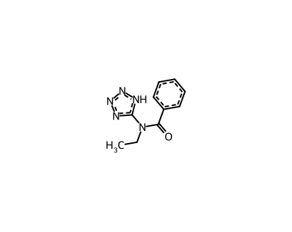 CCN(C(=O)c1ccccc1)c1nnn[nH]1